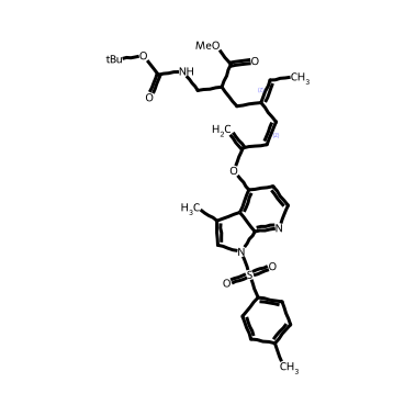 C=C(/C=C\C(=C/C)CC(CNC(=O)OC(C)(C)C)C(=O)OC)Oc1ccnc2c1c(C)cn2S(=O)(=O)c1ccc(C)cc1